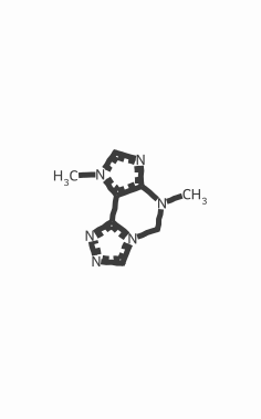 CN1Cn2cnnc2-c2c1ncn2C